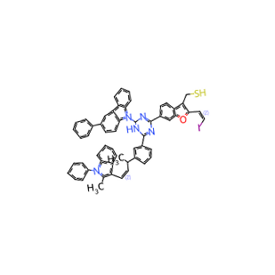 Cc1c(/C=C\C(C)c2cccc(C3=NC(c4ccc5c(CS)c(/C=C\I)oc5c4)=NC(n4c5ccccc5c5cc(-c6ccccc6)ccc54)N3)c2)c2ccccc2n1-c1ccccc1